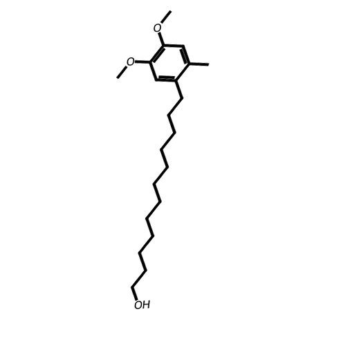 COc1cc(C)c(CCCCCCCCCCCCO)cc1OC